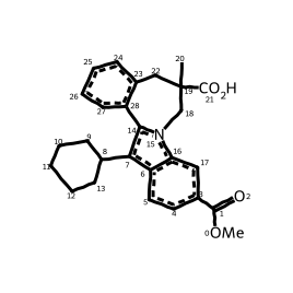 COC(=O)c1ccc2c(C3CCCCC3)c3n(c2c1)CC(C)(C(=O)O)Cc1ccccc1-3